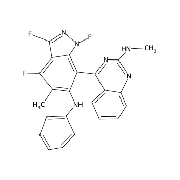 CNc1nc(-c2c(Nc3ccccc3)c(C)c(F)c3c(F)nn(F)c23)c2ccccc2n1